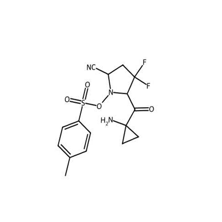 Cc1ccc(S(=O)(=O)ON2C(C#N)CC(F)(F)C2C(=O)C2(N)CC2)cc1